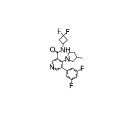 CC1CCN(c2c(C(=O)NC3CC(F)(F)C3)cncc2-c2cc(F)cc(F)c2)C1